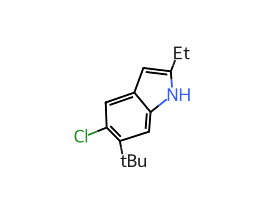 CCc1cc2cc(Cl)c(C(C)(C)C)cc2[nH]1